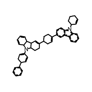 C1=CC2C3C=C(C4CC=C(c5ccc6c(c5)c5ccccc5n6C5C=CCCC5)CC4)CCC3N(C3=CCC(c4ccccc4)C=C3)C2C=C1